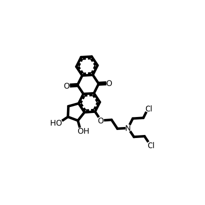 O=C1c2ccccc2C(=O)c2c1cc(OCCN(CCCl)CCCl)c1c2CC(O)C1O